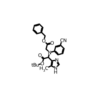 Cc1[nH]cnc1C(C(=O)OC(C)(C)C)N(CC(=O)OCc1ccccc1)c1cccc(C#N)c1